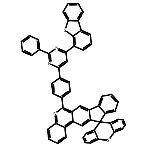 c1ccc(-c2nc(-c3ccc(-c4nc5ccccc5c5cc6c(cc45)-c4ccccc4C64c5ccccc5Sc5ccccc54)cc3)cc(-c3cccc4c3sc3ccccc34)n2)cc1